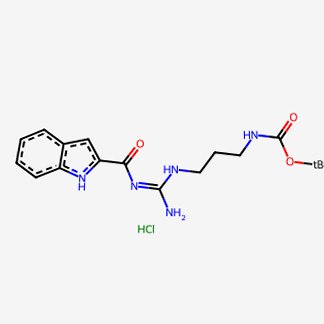 CC(C)(C)OC(=O)NCCCNC(N)=NC(=O)c1cc2ccccc2[nH]1.Cl